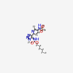 CCCCCCOC(=O)Nc1c(-c2ccc(NS(C)(=O)=O)c(C)n2)nnn1C